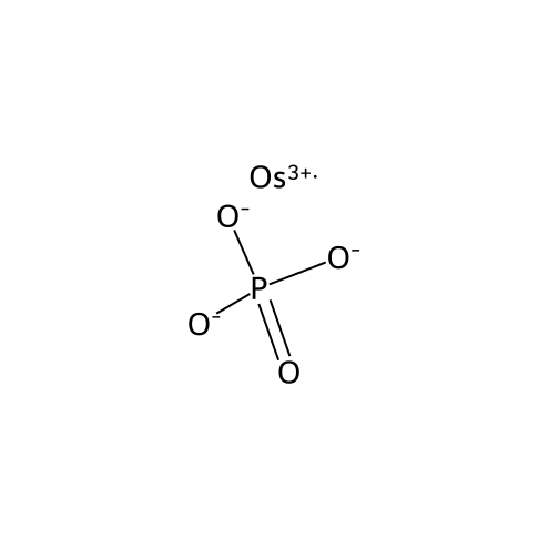 O=P([O-])([O-])[O-].[Os+3]